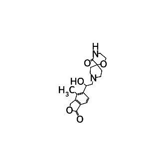 Cc1c(C(O)CN2CCC3(CC2)OCCNC3=O)ccc2c1COC2=O